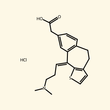 CN(C)CC/C=C1/c2cc(CC(=O)O)ccc2CCc2ccsc21.Cl